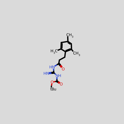 Cc1cc(C)c(CCC(=O)NC(=N)NC(=O)OC(C)(C)C)c(C)c1